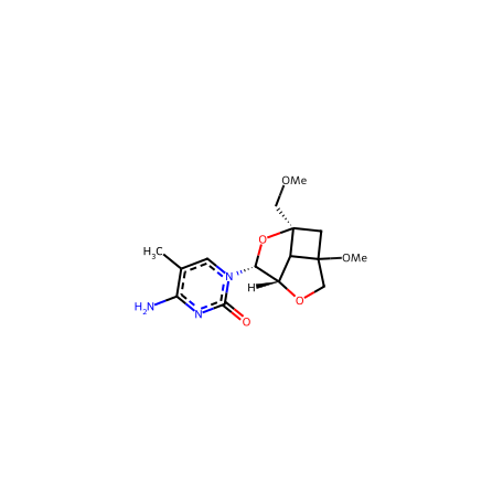 COC[C@]12CC3(OC)CO[C@@H](C31)[C@H](n1cc(C)c(N)nc1=O)O2